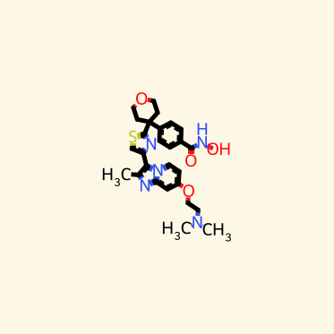 Cc1nc2cc(OCCN(C)C)ccn2c1-c1csc(C2(c3ccc(C(=O)NO)cc3)CCOCC2)n1